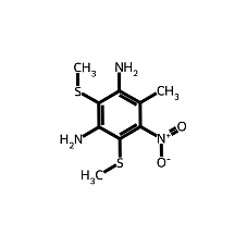 CSc1c(N)c(C)c([N+](=O)[O-])c(SC)c1N